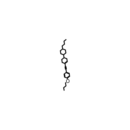 CCCCOc1ccc(C#CC2=CCC(C3CCC(CCCC)CC3)CC2)cc1